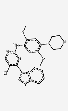 COc1cc(N2CC[N]CC2)c(OC)cc1Nc1ncc(Cl)c(-c2cnc3ccccn23)n1